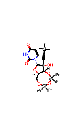 CC(C)[Si]1(C(C)C)OC[C@H]2O[C@H](n3ccc(=O)[nH]c3=O)[C@@](O)(C#C[Si](C)(C)C)[C@@H]2O[Si](C(C)C)(C(C)C)O1